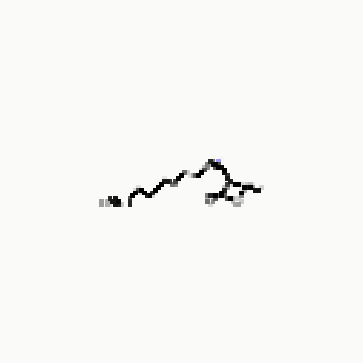 CCCCCCCCCCCCCCC/C=C\C1C(=O)OC1=O